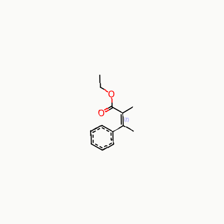 CCOC(=O)/C(C)=C(/C)c1ccccc1